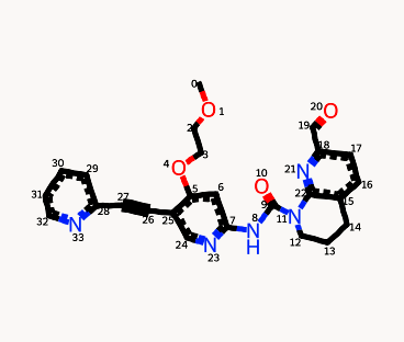 COCCOc1cc(NC(=O)N2CCCc3ccc(C=O)nc32)ncc1C#Cc1ccccn1